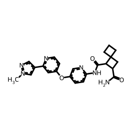 Cn1cc(-c2cc(Oc3ccc(NC(=O)C4C(C(N)=O)CC45CCC5)nc3)ccn2)cn1